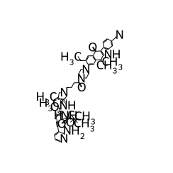 CCc1cc2c(cc1N1CCN(C(=O)CCCN3C[C@H](NC(=O)[C@H](CC#Cc4cccnc4N)NC(=O)OC(C)(C)C)C(C)(C)C3)CC1)C(C)(C)c1[nH]c3cc(C#N)ccc3c1C2=O